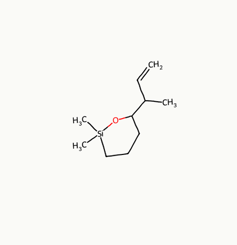 C=CC(C)C1CCC[Si](C)(C)O1